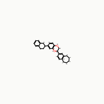 c1ccc2c(c1)CCC(c1ccc3c(c1)OC(c1ccc4c(c1)CCCCC4)CO3)C2